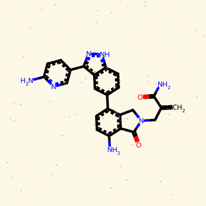 C=C(CN1Cc2c(-c3ccc4[nH]nc(-c5ccc(N)nc5)c4c3)ccc(N)c2C1=O)C(N)=O